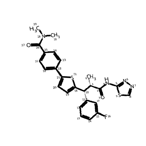 C[C@H](C(=O)Nc1nncs1)[C@H](c1cccc(F)c1)c1ccc(-c2ccc(C(=O)N(C)C)cc2)s1